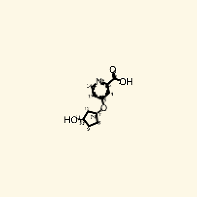 O=C(O)c1cc(O[C@H]2CC[C@@H](O)C2)ccn1